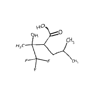 CC(C)CC(C(=O)O)C(C)(O)C(F)(F)F